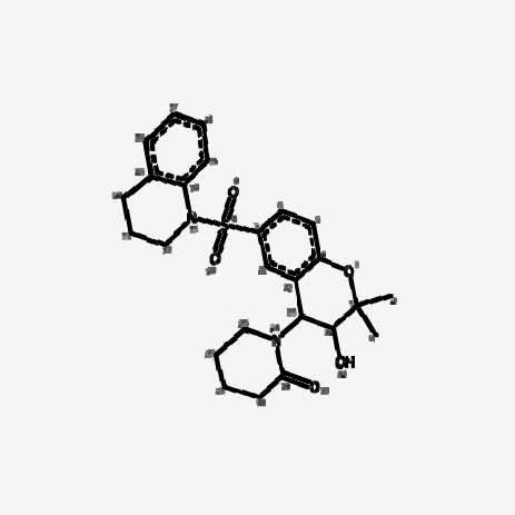 CC1(C)Oc2ccc(S(=O)(=O)N3CCCc4ccccc43)cc2C(N2CCCCC2=O)C1O